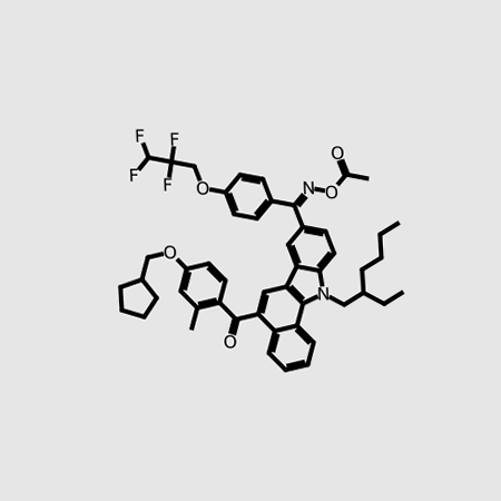 CCCCC(CC)Cn1c2ccc(/C(=N\OC(C)=O)c3ccc(OCC(F)(F)C(F)F)cc3)cc2c2cc(C(=O)c3ccc(OCC4CCCC4)cc3C)c3ccccc3c21